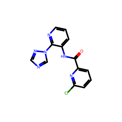 O=C(Nc1cccnc1-n1cncn1)c1cccc(Cl)n1